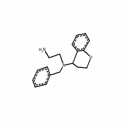 NCCN(Cc1ccccc1)C1CCOc2ccccc21